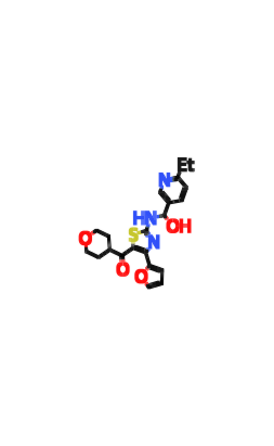 CCc1ccc(C(O)Nc2nc(-c3ccco3)c(C(=O)C3CCOCC3)s2)cn1